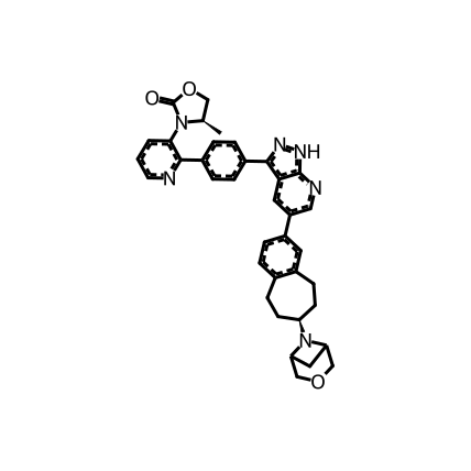 C[C@@H]1COC(=O)N1c1cccnc1-c1ccc(-c2n[nH]c3ncc(-c4ccc5c(c4)CC[C@@H](N4C6COCC4C6)CC5)cc23)cc1